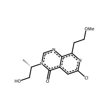 COCCc1nc(Cl)cc2c(=O)n([C@@H](C)CO)cnc12